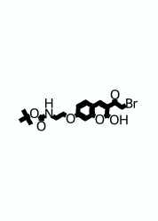 CC(C)(C)OC(=O)NCCOc1ccc2c(c1)OC(O)C(C(=O)CBr)=C2